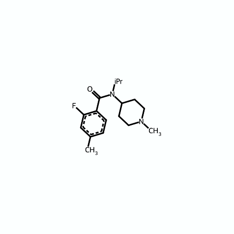 Cc1ccc(C(=O)N(C(C)C)C2CCN(C)CC2)c(F)c1